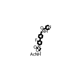 CC(=O)NC[C@H]1CN(c2ccc(-c3ccc(CNC(=O)c4ccncc4)cc3)c(F)c2)C(=O)O1